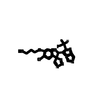 CC(F)(F)c1sc2cncn2c1C(O)C1(c2ccc(OCCCO)c(Cl)c2)C=NN=N1